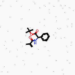 C=C(C)C(=O)N[C@@H](C(=O)OC(C)(C)C)c1ccccc1